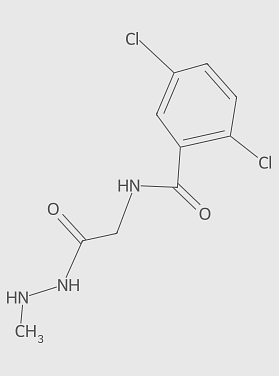 CNNC(=O)CNC(=O)c1cc(Cl)ccc1Cl